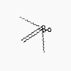 CCCCCCCCCCCCCCN(CCCCCCCCCCCCCC)c1cccc(C(=O)c2ccccc2)c1N(CCCCCCCCCCCCCC)CCCCCCCCCCCCCC